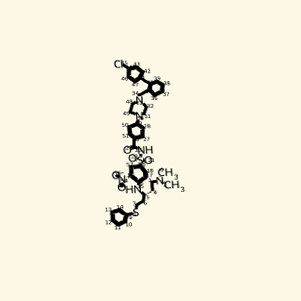 CN(C)CC[C@H](CCSc1ccccc1)Nc1ccc(S(=O)(=O)NC(=O)c2ccc(N3CCN(Cc4ccccc4-c4ccc(Cl)cc4)CC3)cc2)cc1[N+](=O)[O-]